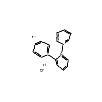 [Cl-].[Cl-].[Cl-].c1cc[n+](-c2cccc[n+]2-[n+]2ccccc2)cc1